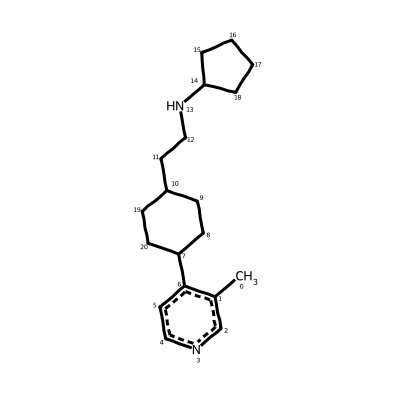 Cc1cnccc1C1CCC(CCNC2CCCC2)CC1